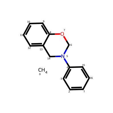 C.c1ccc(N2COc3ccccc3C2)cc1